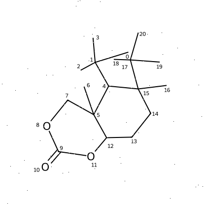 CC(C)(C)C1C2(C)COC(=O)OC2CCC1(C)C(C)(C)C